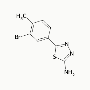 Cc1ccc(-c2nnc(N)s2)cc1Br